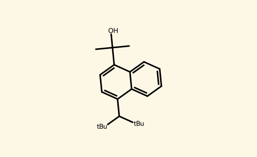 CC(C)(O)c1ccc(C(C(C)(C)C)C(C)(C)C)c2ccccc12